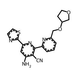 N#Cc1c(N)cc(-c2nccs2)nc1-c1cccc(COC2CCOC2)n1